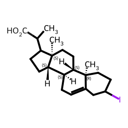 CC(C(=O)O)C1CC[C@H]2[C@@H]3CC=C4CC(I)CC[C@]4(C)[C@H]3CC[C@]12C